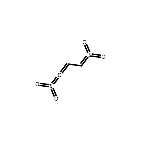 O=S(=O)=C=CC=S(=O)=O